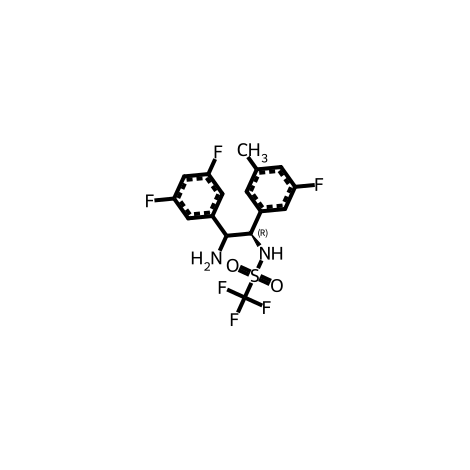 Cc1cc(F)cc([C@@H](NS(=O)(=O)C(F)(F)F)C(N)c2cc(F)cc(F)c2)c1